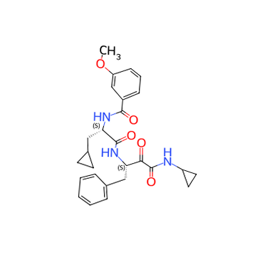 COc1cccc(C(=O)N[C@@H](CC2CC2)C(=O)N[C@@H](Cc2ccccc2)C(=O)C(=O)NC2CC2)c1